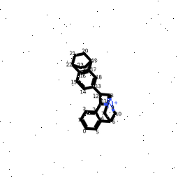 c1ccc2c(c1)C1CC3=[N+](C1)C2C3c1ccc2c(c1)C1CCC2CC1